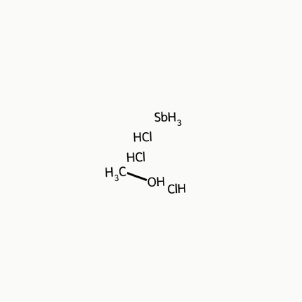 CO.Cl.Cl.Cl.[SbH3]